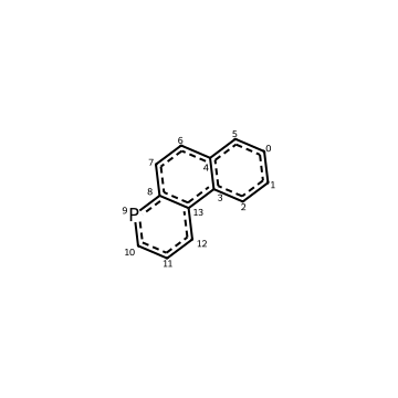 c1ccc2c(c1)ccc1pcccc12